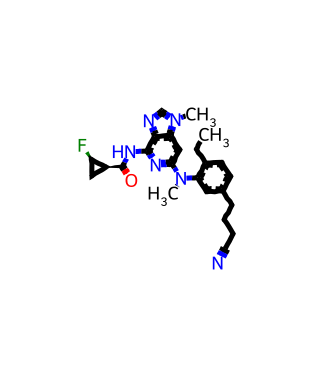 CCc1ccc(CCCC#N)cc1N(C)c1cc2c(ncn2C)c(NC(=O)[C@H]2C[C@H]2F)n1